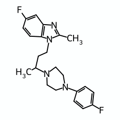 Cc1nc2cc(F)ccc2n1CCC(C)N1CCN(c2ccc(F)cc2)CC1